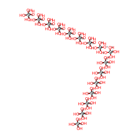 O[Si](O)(O)O.O[Si](O)(O)O.O[Si](O)(O)O.O[Si](O)(O)O.O[Si](O)(O)O.O[Si](O)(O)O.O[Si](O)(O)O.O[Si](O)(O)O.O[Si](O)(O)O.O[Si](O)(O)O.O[Si](O)(O)O.O[Si](O)(O)O.O[Si](O)(O)O.O[Si](O)(O)O.O[Si](O)(O)O.O[Si](O)(O)O